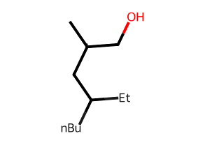 CCCCC(CC)C[C](C)CO